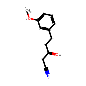 COc1cccc(CCC(=O)CC#N)c1